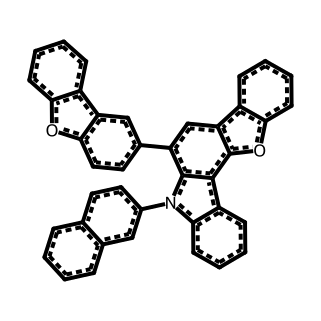 c1ccc2cc(-n3c4ccccc4c4c5oc6ccccc6c5cc(-c5ccc6oc7ccccc7c6c5)c43)ccc2c1